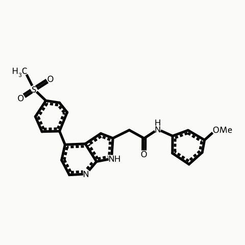 COc1cccc(NC(=O)Cc2cc3c(-c4ccc(S(C)(=O)=O)cc4)ccnc3[nH]2)c1